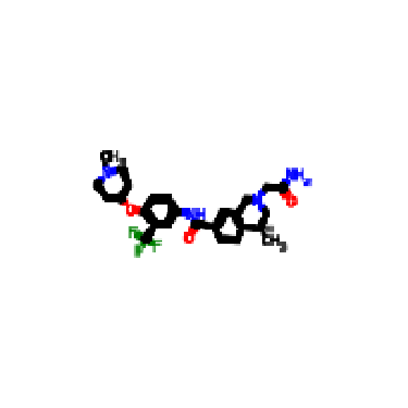 C[C@H]1CN(CC(N)=O)Cc2cc(C(=O)Nc3ccc(OC4CCN(C)CC4)c(C(F)(F)F)c3)ccc21